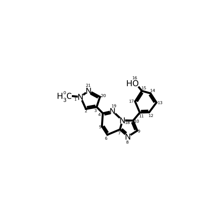 Cn1cc(-c2ccc3ncc(-c4cccc(O)c4)n3n2)cn1